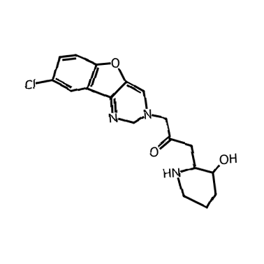 O=C(CC1NCCCC1O)CN1C=c2oc3ccc(Cl)cc3c2=NC1